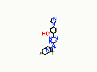 C[C@@H]1CC2C[C@H](N(C)c3cnc(-c4ccc(-n5ccnc5)cc4O)nn3)[C@@H](F)C(C1)N2